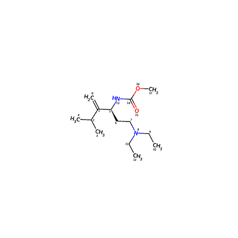 C=C(C(C)C)[C@H](CCN(CC)CC)NC(=O)OC